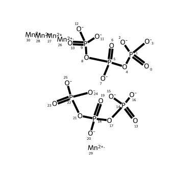 O=P([O-])([O-])OP(=O)([O-])OP(=O)([O-])[O-].O=P([O-])([O-])OP(=O)([O-])OP(=O)([O-])[O-].[Mn+2].[Mn+2].[Mn+2].[Mn+2].[Mn+2]